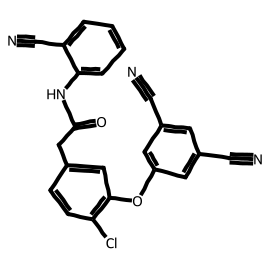 N#Cc1cc(C#N)cc(Oc2cc(CC(=O)Nc3ccccc3C#N)ccc2Cl)c1